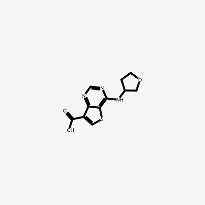 O=C(O)c1csc2c(NC3CCOC3)ncnc12